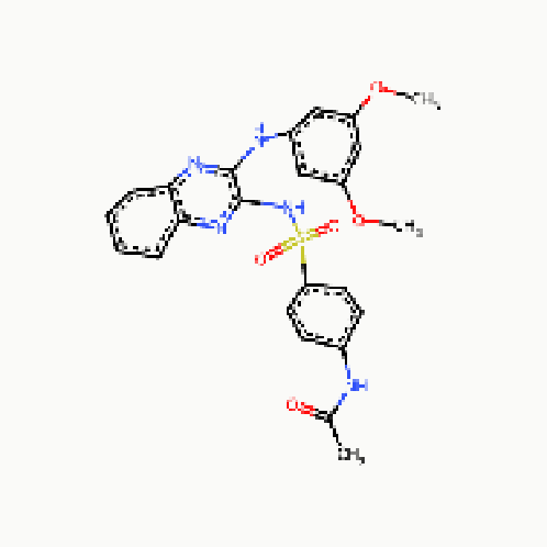 COc1cc(Nc2nc3ccccc3nc2NS(=O)(=O)c2ccc(NC(C)=O)cc2)cc(OC)c1